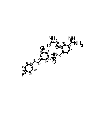 N=C(N)c1ccc(CNC(=O)c2cc(Cl)cc(CCc3ccc(F)cc3)c2)c(OCC(N)=O)c1